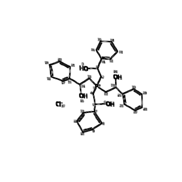 OC(C[P+](CC(O)c1ccccc1)(CC(O)c1ccccc1)CC(O)c1ccccc1)c1ccccc1.[Cl-]